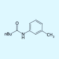 CCCCC(=O)Nc1cccc(C)c1